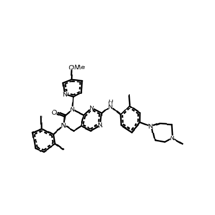 COc1ccc(N2C(=O)N(c3c(C)cccc3C)Cc3cnc(Nc4ccc(N5CCN(C)CC5)cc4C)nc32)nc1